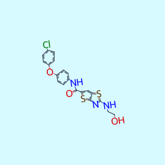 O=C(Nc1ccc(Oc2ccc(Cl)cc2)cc1)c1cc2sc(NCCO)nc2s1